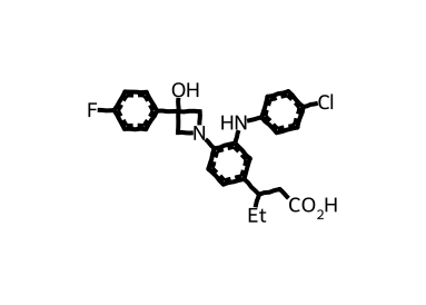 CCC(CC(=O)O)c1ccc(N2CC(O)(c3ccc(F)cc3)C2)c(Nc2ccc(Cl)cc2)c1